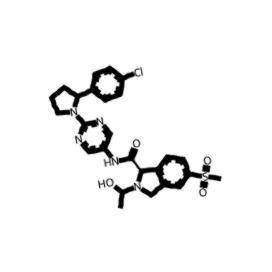 CC(O)N1Cc2cc(S(C)(=O)=O)ccc2[C@@H]1C(=O)Nc1cnc(N2CCCC2c2ccc(Cl)cc2)nc1